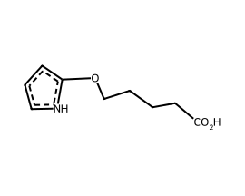 O=C(O)CCCCOc1ccc[nH]1